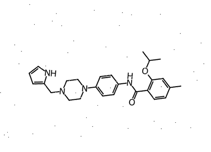 Cc1ccc(C(=O)Nc2ccc(N3CCN(Cc4ccc[nH]4)CC3)cc2)c(OC(C)C)c1